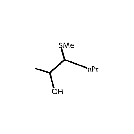 CCCC(SC)C(C)O